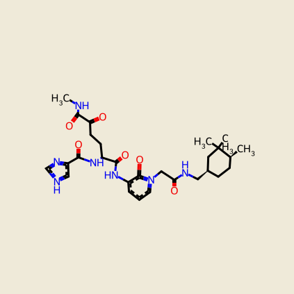 CNC(=O)C(=O)CCC(NC(=O)c1c[nH]cn1)C(=O)Nc1cccn(CC(=O)NC[C@@H]2CC[C@H](C)C(C)(C)C2)c1=O